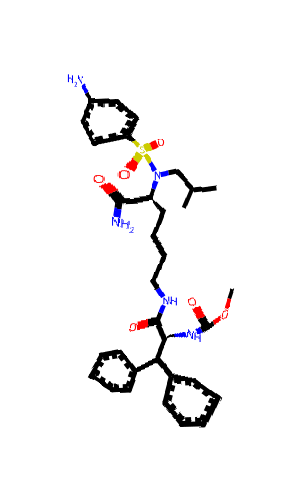 COC(=O)N[C@H](C(=O)NCCCC[C@@H](C(N)=O)N(CC(C)C)S(=O)(=O)c1ccc(N)cc1)C(c1ccccc1)c1ccccc1